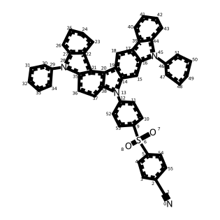 N#Cc1ccc(S(=O)(=O)c2ccc(-n3c4cc5c(cc4c4c6c7ccccc7n(-c7ccccc7)c6ccc43)c3ccccc3n5-c3ccccc3)cc2)cc1